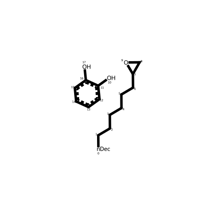 CCCCCCCCCCCCCCCCC1CO1.Oc1ccccc1O